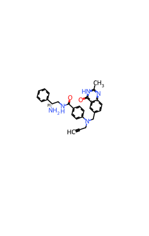 C#CCN(Cc1ccc2nc(C)[nH]c(=O)c2c1)c1ccc(C(=O)NC[C@H](N)c2ccccc2)cc1